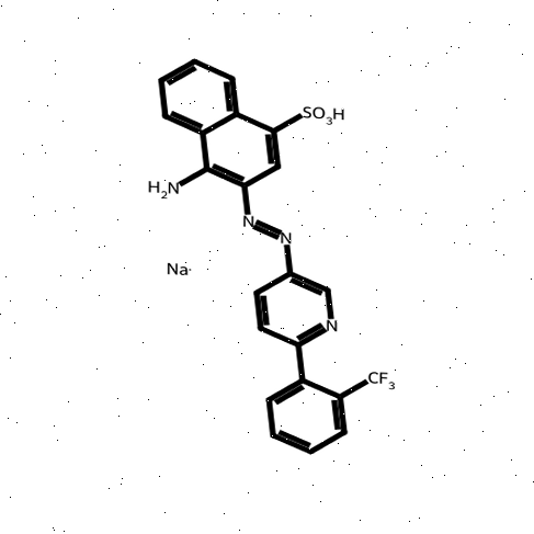 Nc1c(N=Nc2ccc(-c3ccccc3C(F)(F)F)nc2)cc(S(=O)(=O)O)c2ccccc12.[Na]